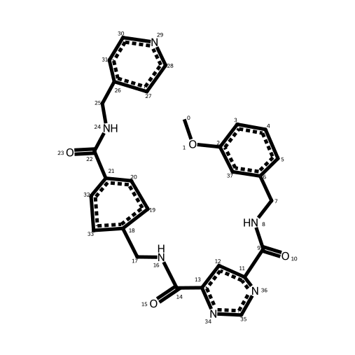 COc1cccc(CNC(=O)c2cc(C(=O)NCc3ccc(C(=O)NCc4ccncc4)cc3)ncn2)c1